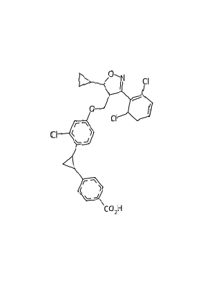 O=C(O)c1ccc(C2CC2c2ccc(OCC3C(C4=C(Cl)C=CCC4Cl)=NOC3C3CC3)cc2Cl)cc1